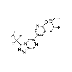 CC[C@H](Oc1ccc(-c2cn3c(C(F)(F)OC)nnc3cn2)cn1)C(F)F